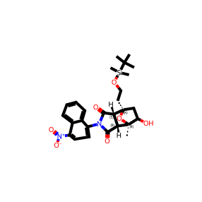 CC(C)(C)[Si](C)(C)OCC[C@]12CC(O)[C@](C)(O1)[C@@H]1C(=O)N(c3ccc([N+](=O)[O-])c4ccccc34)C(=O)[C@@H]12